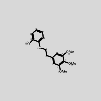 COc1cc(CCOc2ccccc2O)cc(OC)c1OC